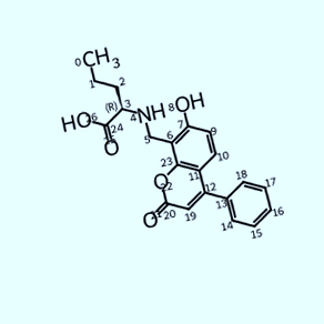 CCC[C@@H](NCc1c(O)ccc2c(-c3ccccc3)cc(=O)oc12)C(=O)O